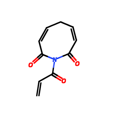 C=CC(=O)N1C(=O)/C=C\C/C=C\C1=O